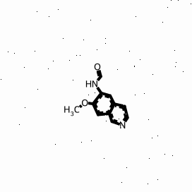 COc1cc2cnccc2cc1NC=O